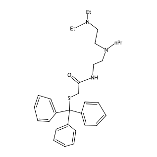 CCCN(CCNC(=O)CSC(c1ccccc1)(c1ccccc1)c1ccccc1)CCN(CC)CC